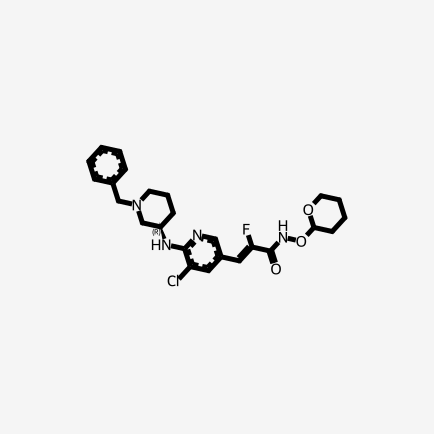 O=C(NOC1CCCCO1)C(F)=Cc1cnc(N[C@@H]2CCCN(Cc3ccccc3)C2)c(Cl)c1